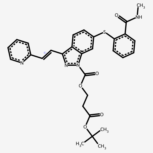 CNC(=O)c1ccccc1Sc1ccc2c(/C=C/c3ccccn3)nn(C(=O)OCCC(=O)OC(C)(C)C)c2c1